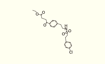 CCOC(=O)CCC(=O)c1ccc(CCNS(=O)(=O)CCc2ccc(Cl)cc2)cc1